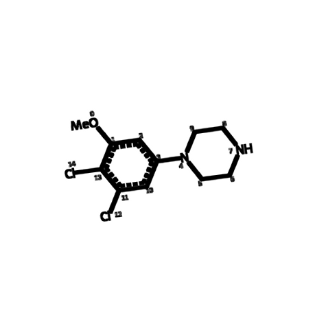 COc1cc(N2CCNCC2)cc(Cl)c1Cl